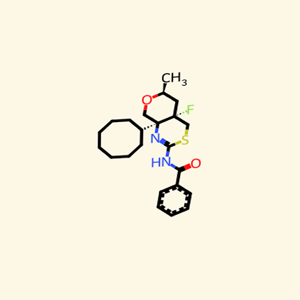 C[C@H]1C[C@@]2(F)CSC(NC(=O)c3ccccc3)=N[C@@]2(C2CCCCCCC2)CO1